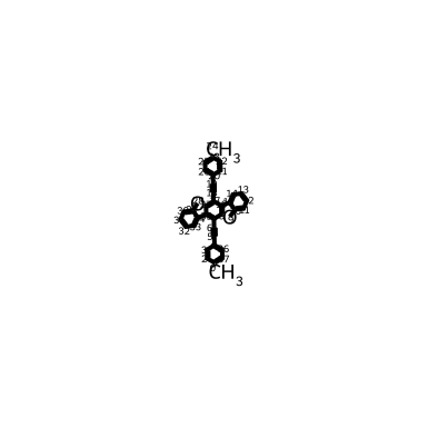 Cc1ccc(C#Cc2c3oc4ccccc4c3c(C#Cc3ccc(C)cc3)c3oc4ccccc4c23)cc1